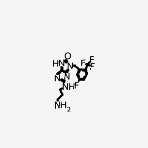 NCCCNc1ncc2[nH]c(=O)n(Cc3cc(F)ccc3C(F)(F)F)c2n1